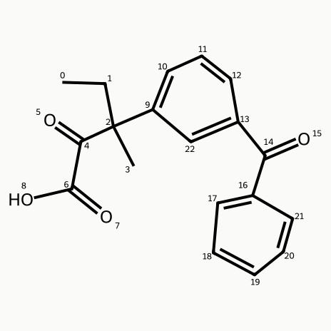 CCC(C)(C(=O)C(=O)O)c1cccc(C(=O)c2ccccc2)c1